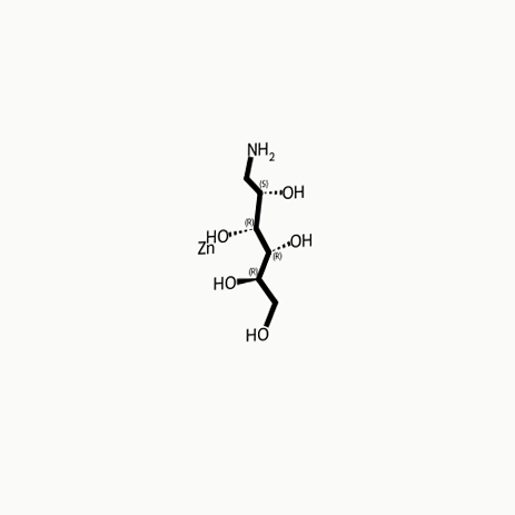 NC[C@H](O)[C@@H](O)[C@H](O)[C@H](O)CO.[Zn]